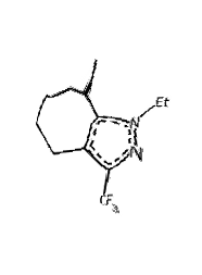 CCn1nc(C(F)(F)F)c2c1C(C)CCC2